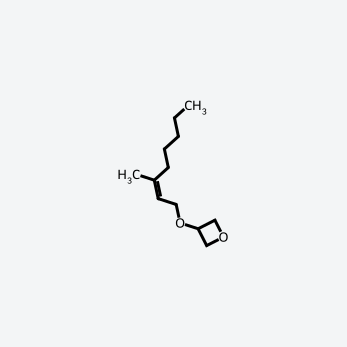 CCCCCC(C)=CCOC1COC1